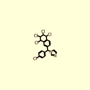 Clc1ccc(C(c2ccc3c(c2)C(Cl)C(Cl)C(Cl)C3Cl)n2ccnc2)cc1